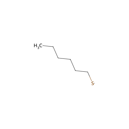 CCCCCC[S]